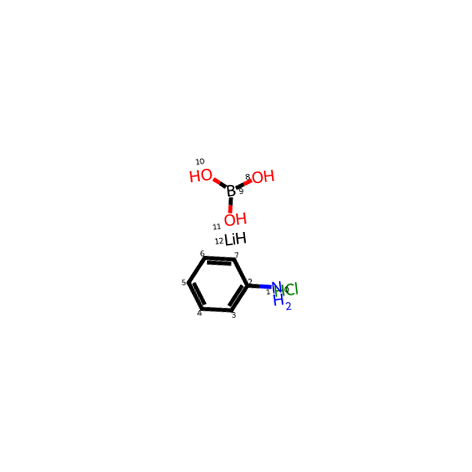 Cl.Nc1ccccc1.OB(O)O.[LiH]